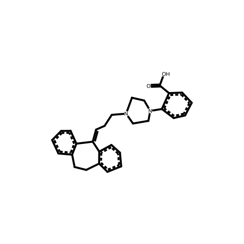 O=C(O)c1ccccc1N1CCN(CCC=C2c3ccccc3CCc3ccccc32)CC1